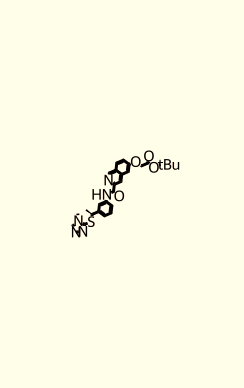 C[C@H](Sc1nncn1C)c1cccc(NC(=O)c2cc3cc(OCC(=O)OC(C)(C)C)ccc3cn2)c1